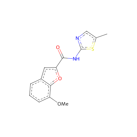 COc1cccc2cc(C(=O)Nc3ncc(C)s3)oc12